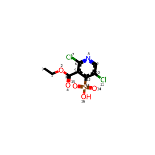 CCOC(=O)c1c(Cl)ncc(Cl)c1S(=O)(=O)O